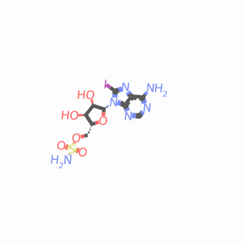 Nc1ncnc2c1nc(I)n2[C@@H]1O[C@H](COS(N)(=O)=O)[C@@H](O)[C@H]1O